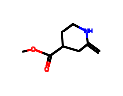 C=C1CC(C(=O)OC)CCN1